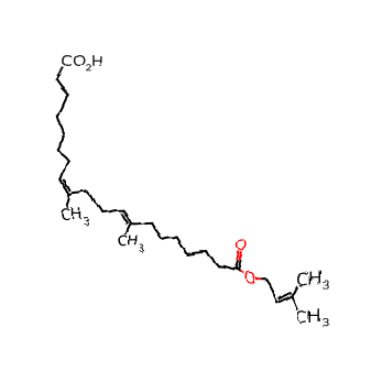 CC(C)=CCOC(=O)CCCCCC/C(C)=C/CC/C(C)=C\CCCCCCC(=O)O